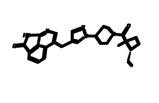 CC[C@H]1CCC1(C)C(=O)N1CCC(n2cc(Cc3cnc4c5c(cccc35)C(=O)N4)cn2)CC1